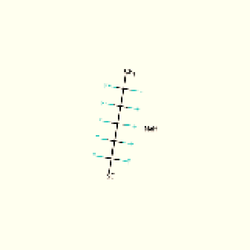 O=S(=O)(O)C(F)(F)C(F)(F)C(F)(F)C(F)(F)C(F)(F)C(F)(F)F.[NaH]